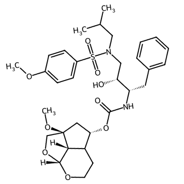 COc1ccc(S(=O)(=O)N(CC(C)C)C[C@@H](O)[C@H](Cc2ccccc2)NC(=O)O[C@H]2C[C@@]3(OC)CO[C@H]4OCCC2[C@H]43)cc1